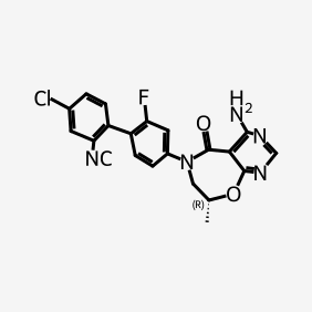 [C-]#[N+]c1cc(Cl)ccc1-c1ccc(N2C[C@@H](C)Oc3ncnc(N)c3C2=O)cc1F